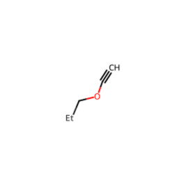 C#COCCC